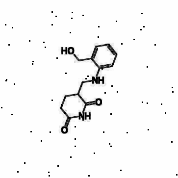 O=C1CCC(CNc2ccccc2CO)C(=O)N1